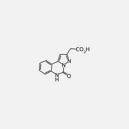 O=C(O)Cc1cc2c3ccccc3[nH]c(=O)n2n1